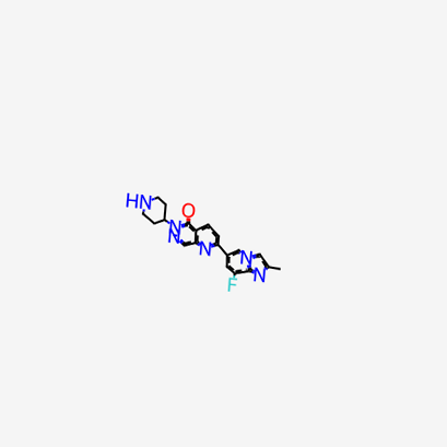 Cc1cn2cc(-c3ccc4c(=O)n(C5CCNCC5)ncc4n3)cc(F)c2n1